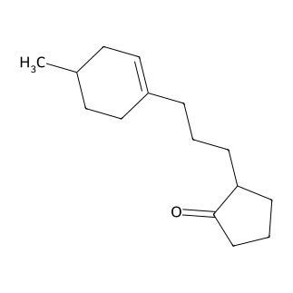 CC1CC=C(CCCC2CCCC2=O)CC1